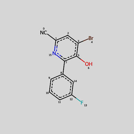 N#Cc1cc(Br)c(O)c(-c2cccc(F)c2)n1